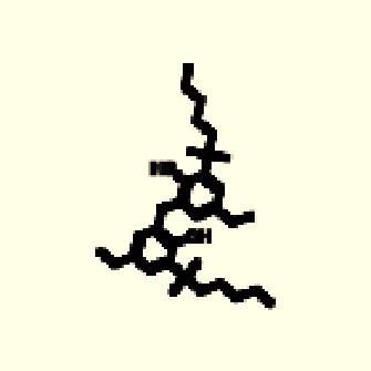 CCCCCC(C)(C)c1cc(CC)cc(Cc2cc(CC)cc(C(C)(C)CCCCC)c2O)c1O